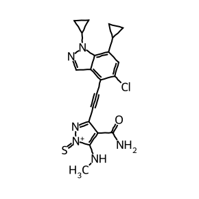 CNC1=C(C(N)=O)C(C#Cc2c(Cl)cc(C3CC3)c3c2cnn3C2CC2)=N[N+]1=S